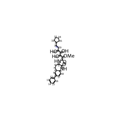 CO[C@@H](C(=O)N[C@H]1CCC2C=C(c3ccccc3)C=CC2NC1=O)[C@H](O)[C@@H](O)[C@H](O)/C=C/C1CCCC1